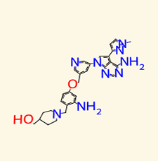 Cn1ccc(-c2cn(-c3cncc(COc4ccc(CN5CCC(CO)CC5)c(N)c4)c3)c3ncnc(N)c23)n1